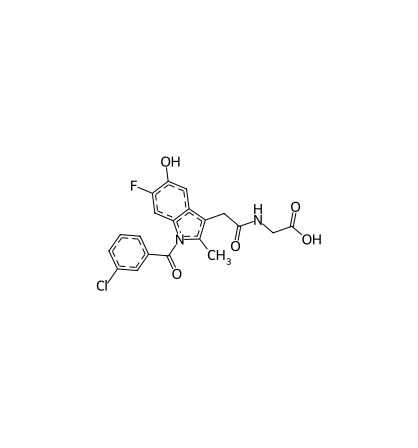 Cc1c(CC(=O)NCC(=O)O)c2cc(O)c(F)cc2n1C(=O)c1cccc(Cl)c1